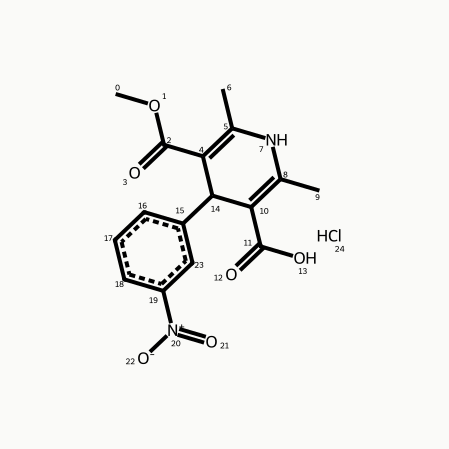 COC(=O)C1=C(C)NC(C)=C(C(=O)O)C1c1cccc([N+](=O)[O-])c1.Cl